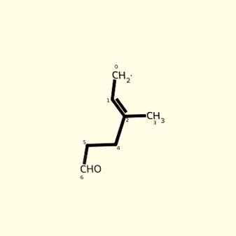 [CH2]C=C(C)CCC=O